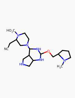 CN1CCCC1COC1NC2CNCC2C(N2CCN(C(=O)O)C(CC#N)C2)N1